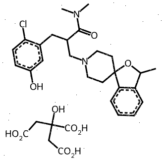 CC1OC2(CCN(CC(Cc3cc(O)ccc3Cl)C(=O)N(C)C)CC2)c2ccccc21.O=C(O)CC(O)(CC(=O)O)C(=O)O